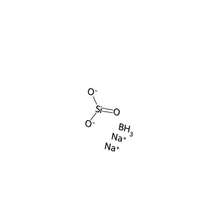 B.O=[Si]([O-])[O-].[Na+].[Na+]